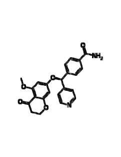 COc1cc(O[C@H](c2ccncc2)c2ccc(C(N)=O)cc2)cc2c1C(=O)CCO2